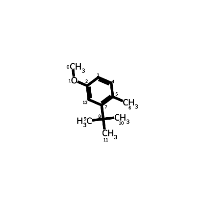 COc1ccc(C)c(C(C)(C)C)c1